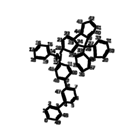 c1ccc(-c2cccc(-c3ccc(N(c4ccccc4)c4ccc5c(c4)C(c4ccccc4)(c4ccccc4)c4ccccc4-5)cc3)c2)cc1